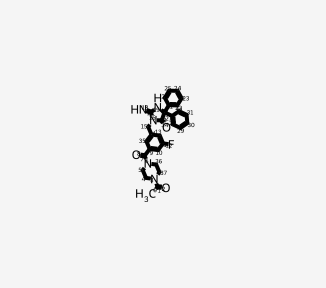 CC(=O)N1CCN(C(=O)c2cc(F)cc(CN3C(=N)NC(c4ccccc4)(c4ccccc4)C3=O)c2)CC1